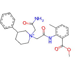 COC(=O)c1cccc(C)c1NC(=O)C[N+]1(CC(N)=O)CCCC(c2ccccc2)C1